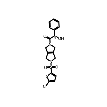 O=C([C@H](O)c1ccccc1)N1CC2=C(C1)CN(S(=O)(=O)c1ccc(Cl)s1)C2